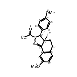 CCC(=O)N1N=C2c3cc(OC)ccc3CC[C@H]2[C@@H]1c1ccc(OC)cc1